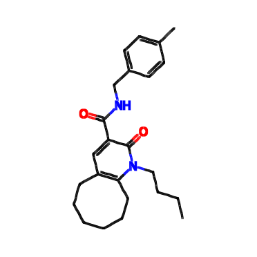 CCCCn1c2c(cc(C(=O)NCc3ccc(C)cc3)c1=O)CCCCCC2